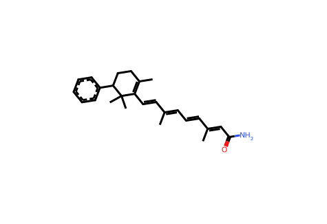 CC1=C(/C=C/C(C)=C/C=C/C(C)=C/C(N)=O)C(C)(C)C(c2ccccc2)CC1